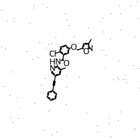 Cc1cc(COc2ccc(Cl)c(C(=O)Nc3ncc(C#Cc4ccccc4)cc3C)c2)on1